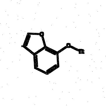 CCOc1cccc2[c]coc12